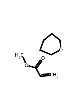 C1CCOCC1.C=CC(=O)OC